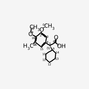 COc1cc([C@@H](C(=O)O)C2CCCCC2)cc(C)c1OC